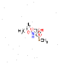 CSCC[C@](C)(NC(=O)OC(C)C)C(=O)O